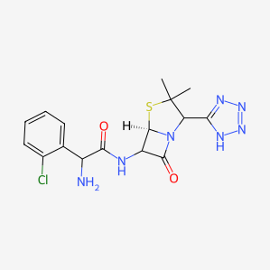 CC1(C)S[C@@H]2C(NC(=O)C(N)c3ccccc3Cl)C(=O)N2C1c1nnn[nH]1